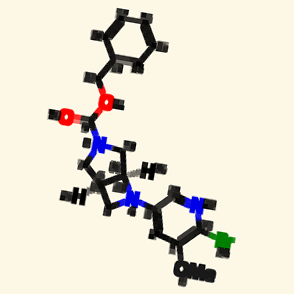 COc1cc(N2C[C@H]3CN(C(=O)OCc4ccccc4)C[C@H]32)cnc1Br